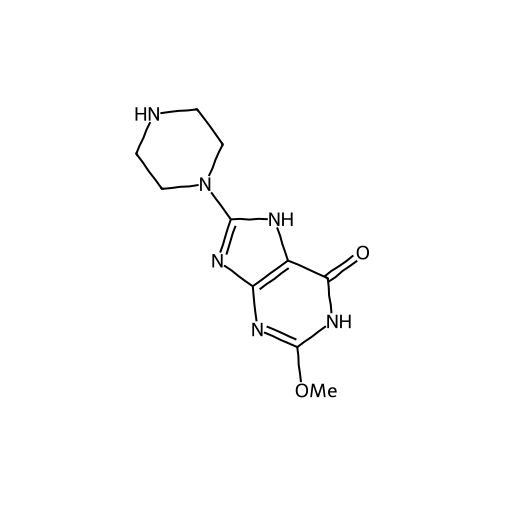 COc1nc2nc(N3CCNCC3)[nH]c2c(=O)[nH]1